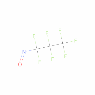 O=NC(F)(F)C(F)(F)C(F)(F)F